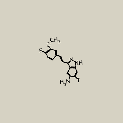 COc1cc(C=Cc2n[nH]c3cc(F)c(N)cc23)ccc1F